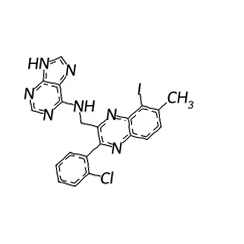 Cc1ccc2nc(-c3ccccc3Cl)c(CNc3ncnc4[nH]cnc34)nc2c1I